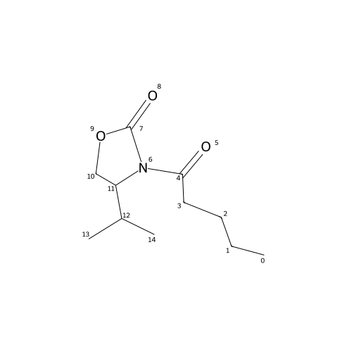 CCCCC(=O)N1C(=O)OCC1C(C)C